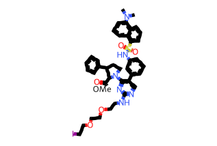 COC(=O)C1C(c2ccccc2)CCN1c1nc(NCCOCCOCCI)ncc1-c1cccc(NS(=O)(=O)c2cccc3c(N(C)C)cccc23)c1